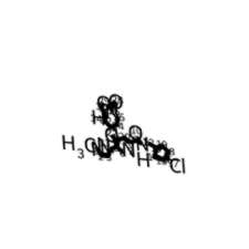 Cn1ccc(-c2cnc(C(=O)NCc3ccc(Cl)cc3)cc2O[C@H]2CCN3C(=O)OC[C@@H]3C2)n1